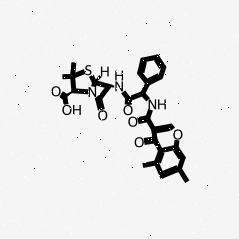 Cc1cc(C)c2c(=O)c(C(=O)NC(C(=O)N[C@@H]3C(=O)N4[C@@H]3SC(C)(C)[C@@H]4C(=O)O)c3ccccc3)coc2c1